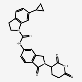 O=C1CCC(N2Cc3cc(NC(=O)N4CCc5ccc(C6CC6)cc54)ccc3C2=O)C(=O)N1